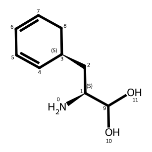 N[C@@H](C[C@H]1C=CC=CC1)C(O)O